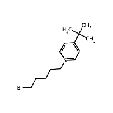 CC(C)(C)C1=CC=S(CCCCCBr)C=C1